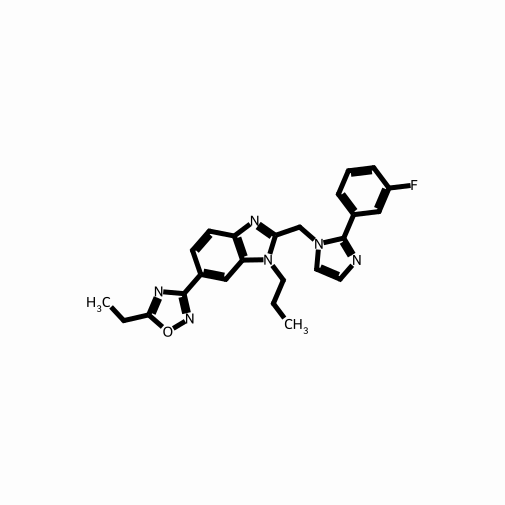 CCCn1c(Cn2ccnc2-c2cccc(F)c2)nc2ccc(-c3noc(CC)n3)cc21